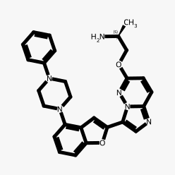 C[C@H](N)COc1ccc2ncc(-c3cc4c(N5CCN(c6ccccc6)CC5)cccc4o3)n2n1